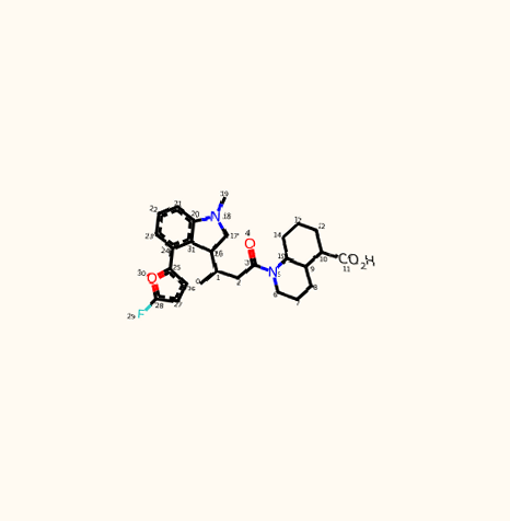 CC(CC(=O)N1CCCC2C(C(=O)O)CCCC21)C1CN(C)c2cccc(-c3ccc(F)o3)c21